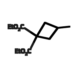 CCOC(=O)C1(C(=O)OCC)CC(C)C1